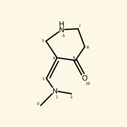 CN(C)/C=C1/CNCCC1=O